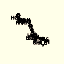 Cc1ncsc1-c1ccc(CNC(=O)[C@@H]2C[C@@H](O)CN2C(=O)[C@@H](NC(=O)[C@H]2CC3(C2)C[C@H](N2CCC(c4ccnc(N5CCN6c7cc(-c8ccccc8O)nnc7NC[C@H]6C5)n4)CC2)C3)C(C)(C)C)cc1